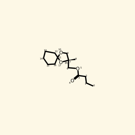 CCCC(=O)OC[C@@]1(C)COC2(CCCCC2)O1